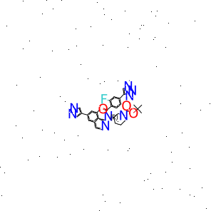 Cc1cc(-c2cnn(C)c2)cc2ccnc(N(C(=O)c3ccc(-c4cn(C)nn4)cc3F)[C@@H]3CCCN(C(=O)OC(C)(C)C)C3)c12